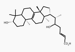 C[C@H](C(O)C/C=C/C(=O)O)[C@H]1CC[C@@]2(C)C3=C(CC[C@]12C)[C@@]1(C)CC[C@H](O)C(C)(C)C1CC3